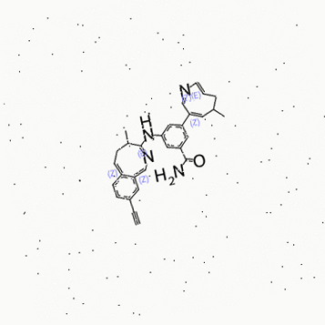 C#Cc1ccc2/c(c1)=C\N=C(\Nc1cc(C(N)=O)cc(C3=C/C(C)C/C=C/N=C\3)c1)C(C)C\C=2